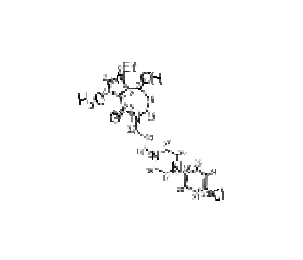 CCn1cc(C)c2c1C(O)CCN(CCCN1CCN(c3ccc(Cl)cc3)CC1)C2=O